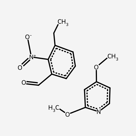 CCc1cccc(C=O)c1[N+](=O)[O-].COc1ccnc(OC)c1